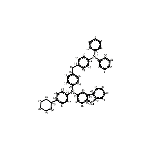 c1ccc(N(c2ccccc2)c2ccc(Cc3ccc(N(c4ccc(C5CCCCC5)cc4)c4ccc5sc6ccccc6c5c4)cc3)cc2)cc1